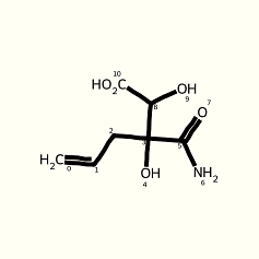 C=CCC(O)(C(N)=O)C(O)C(=O)O